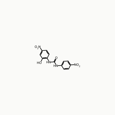 O=C(Nc1ccc([N+](=O)[O-])cc1)Nc1ccc([N+](=O)[O-])cc1O